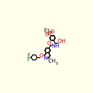 CCS(=O)(=O)c1ccc(C(CO)NC(=O)c2ccc3c(OCC4CCC(F)(F)CC4)nc(C)cc3c2)cc1